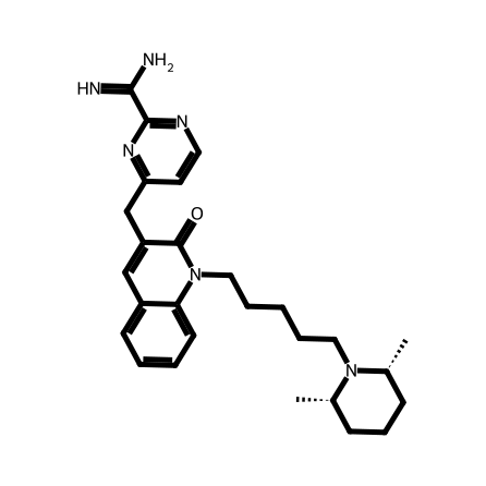 C[C@@H]1CCC[C@H](C)N1CCCCCn1c(=O)c(Cc2ccnc(C(=N)N)n2)cc2ccccc21